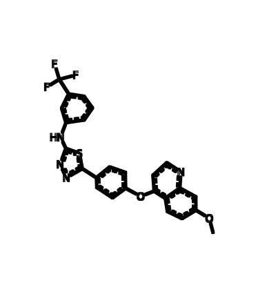 COc1ccc2c(Oc3ccc(-c4nnc(Nc5cccc(C(F)(F)F)c5)s4)cc3)ccnc2c1